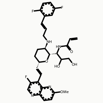 C=CC(=O)NC(C(O)CO)[C@@H]1O[C@H](/C=C/c2c(F)cnc3ccc(OC)nc23)CC[C@H]1NC/C=C/c1cc(F)ccc1F